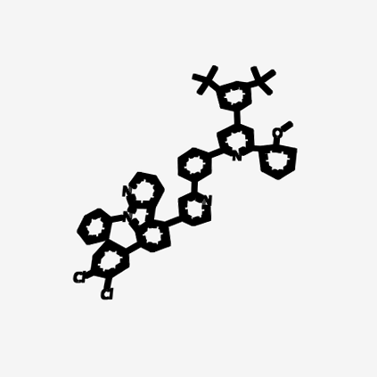 COc1ccccc1-c1cc(-c2cc(C(C)(C)C)cc(C(C)(C)C)c2)cc(-c2cccc(-c3cc(-c4ccc(-c5ccc(Cl)c(Cl)c5)c5c4c4cccnc4n5-c4ccccc4)ccn3)c2)n1